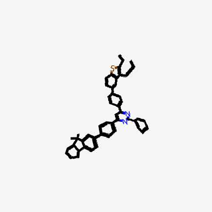 C/C=C\c1c(CC)sc2ccc(-c3ccc(-c4cc(-c5ccc(-c6ccc7c(c6)C(C)(C)c6ccccc6-7)cc5)nc(-c5ccccc5)n4)cc3)cc12